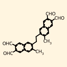 Cc1cc2cc(C=O)c(C=O)cc2cc1CCc1cc2cc(C=O)c(C=O)cc2cc1C